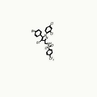 CCc1c(CNS(=O)(=O)c2ccc(C(F)(F)F)cc2)nn(-c2ccc(Cl)cc2Cl)c1-c1ccc(Br)cc1